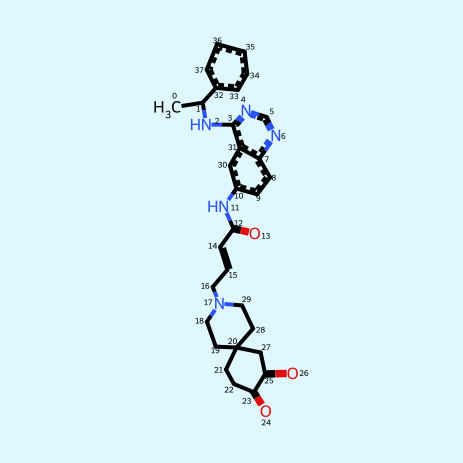 CC(Nc1ncnc2ccc(NC(=O)C=CCN3CCC4(CCC(=O)C(=O)C4)CC3)cc12)c1ccccc1